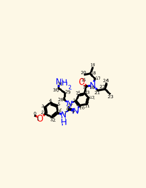 COc1cccc(Nc2nc3ccc(C(=O)N(CC(C)C)CC(C)C)cc3n2CCCN)c1